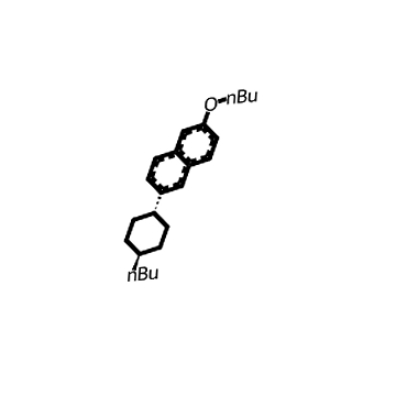 CCCCOc1ccc2cc([C@H]3CC[C@H](CCCC)CC3)ccc2c1